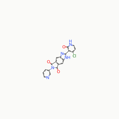 O=C1c2cc3nc(-c4c(Cl)cc[nH]c4=O)[nH]c3cc2C(=O)N1c1cccnc1